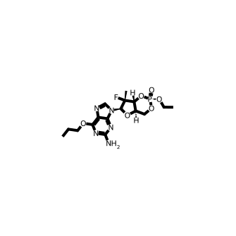 CCCOc1nc(N)nc2c1ncn2[C@@H]1O[C@@H]2CO[P@@](=O)(OCC)O[C@H]2[C@@]1(C)F